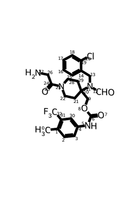 Cc1ccc(NC(=O)OCC2(N(C=O)Cc3ccccc3Cl)CCN(C(=O)CN)CC2)cc1C(F)(F)F